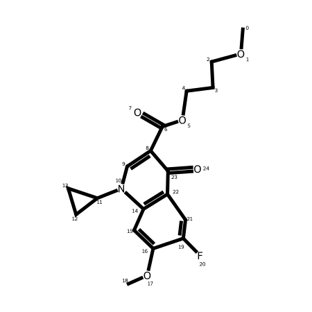 COCCCOC(=O)c1cn(C2CC2)c2cc(OC)c(F)cc2c1=O